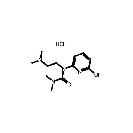 CN(C)CCN(C(=O)N(C)C)c1cccc(O)n1.Cl